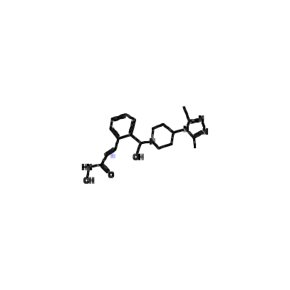 Cc1nnc(C)n1C1CCN(C(O)c2ccccc2/C=C/C(=O)NO)CC1